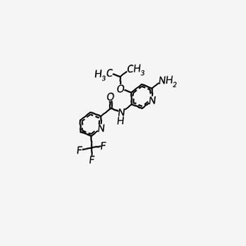 CC(C)Oc1cc(N)ncc1NC(=O)c1cccc(C(F)(F)F)n1